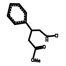 COC(=O)CC(CNCl)c1ccccc1